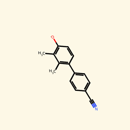 Cc1c([O])ccc(-c2ccc(C#N)cc2)c1C